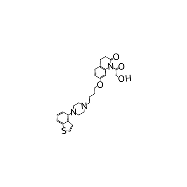 O=C(CO)N1C(=O)CCc2ccc(OCCCCN3CCN(c4cccc5sccc45)CC3)cc21